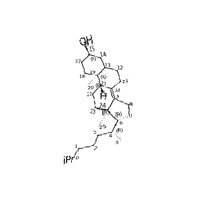 CC(C)CCC[C@@H](C)[C@H]1CCC2=C3CCC4C[C@H](O)CC[C@]4(C)[C@H]3CC[C@@]21C